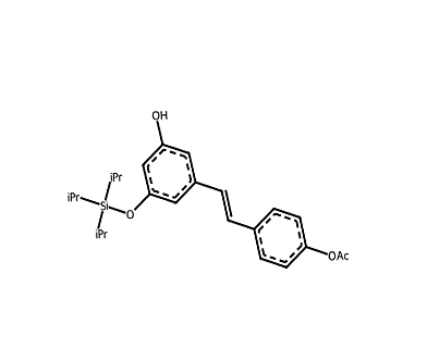 CC(=O)Oc1ccc(C=Cc2cc(O)cc(O[Si](C(C)C)(C(C)C)C(C)C)c2)cc1